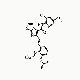 CC(C)(C)COc1c(C=Cc2nc3sccn3c2C(=O)Nc2ncc(C(F)(F)F)cc2Cl)cccc1OC(F)F